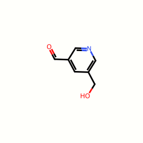 O=Cc1cncc(CO)c1